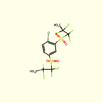 O=S(=O)(O)C(F)(F)C(F)(F)S(=O)(=O)c1ccc(Cl)c(S(=O)(=O)C(F)(F)C(F)(F)S(=O)(=O)O)c1